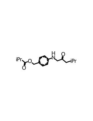 CC(C)CC(=O)CNc1ccc(COC(=O)C(C)C)cc1